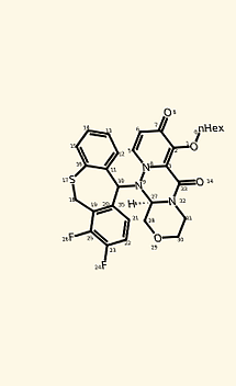 CCCCCCOc1c2n(ccc1=O)N(C1c3ccccc3SCc3c1ccc(F)c3F)[C@@H]1COCCN1C2=O